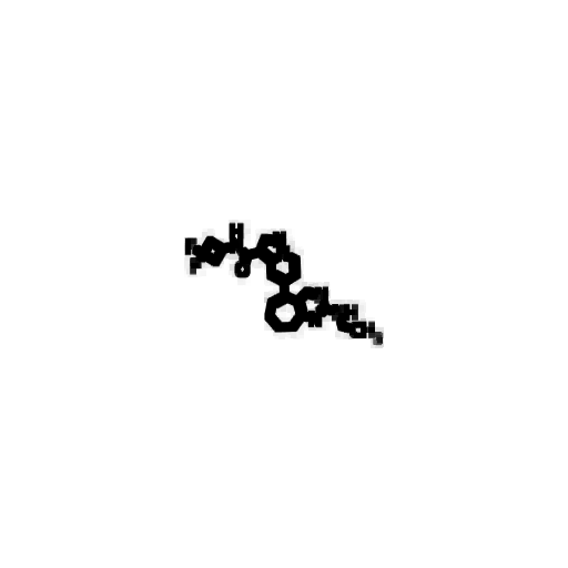 CCNc1ncc2c(n1)CCCC=C2c1ccn2ncc(C(=O)NC3CC(F)(F)C3)c2c1